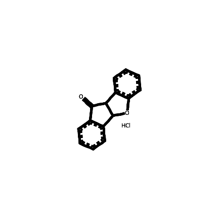 Cl.O=C1c2ccccc2C2Oc3ccccc3C12